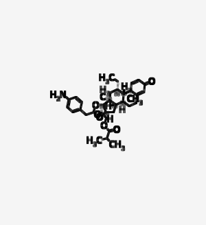 CC[C@H]1C[C@@]2(C)[C@@H](C[C@H]3OC(Cc4ccc(N)cc4)O[C@]32C(=O)COC(=O)C(C)C)[C@@H]2CCC3=CC(=O)C=C[C@]3(C)[C@@H]12